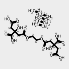 C=C.C=C.C=C.C=C.C=C.O=C(O)CC(O)(CC(=O)OCCOC(=O)CC(O)(CC(=O)O)C(=O)O)C(=O)O